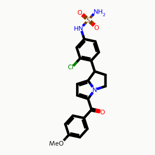 COc1ccc(C(=O)c2ccc3n2CCC3c2ccc(NS(N)(=O)=O)cc2Cl)cc1